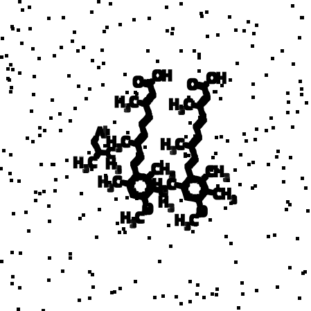 CC(C)[CH2][Al].COc1cc(C)c(/C=C/C(C)=C/C=C/C(C)=C/C(=O)O)c(C)c1C.COc1cc(C)c(/C=C/C(C)=C/C=C/C(C)=C/C(=O)O)c(C)c1C